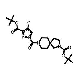 CC(C)(C)OC(=O)c1nn(C(=O)N2CCC3(CCN(C(=O)OC(C)(C)C)C3)CC2)cc1Cl